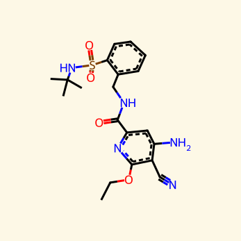 CCOc1nc(C(=O)NCc2ccccc2S(=O)(=O)NC(C)(C)C)cc(N)c1C#N